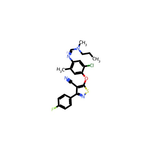 CCCN(C)/C=N\c1cc(Cl)c(Oc2snc(-c3ccc(F)cc3)c2C#N)cc1C